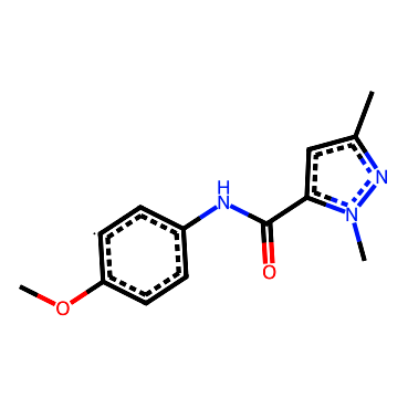 COc1[c]cc(NC(=O)c2cc(C)nn2C)cc1